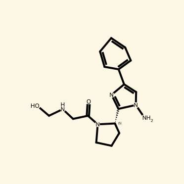 Nn1cc(-c2ccccc2)nc1[C@@H]1CCCN1C(=O)CNCO